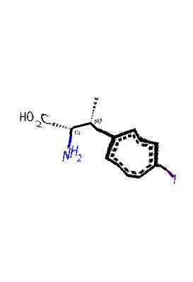 C[C@H](c1ccc(I)cc1)[C@H](N)C(=O)O